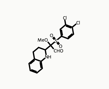 COC(C=O)(C1CCc2ccccc2N1)S(=O)(=O)c1ccc(Cl)c(Cl)c1